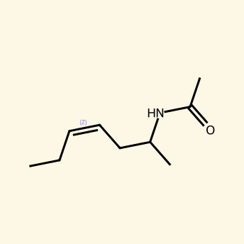 CC/C=C\CC(C)NC(C)=O